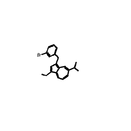 CCc1cc(Cc2cccc(Br)c2)c2cc(C(C)C)cccc1-2